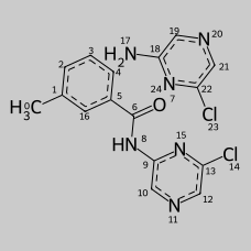 Cc1cccc(C(=O)Nc2cncc(Cl)n2)c1.Nc1cncc(Cl)n1